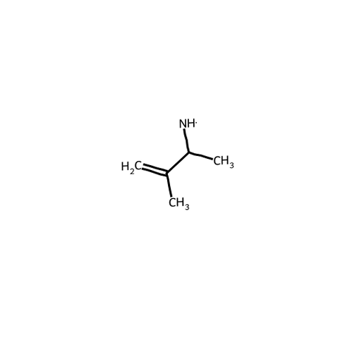 C=C(C)C(C)[NH]